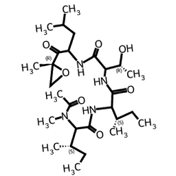 CC[C@H](C)C(NC(=O)C([C@@H](C)CC)N(C)C(C)=O)C(=O)NC(C(=O)NC(CC(C)C)C(=O)[C@@]1(C)CO1)[C@@H](C)O